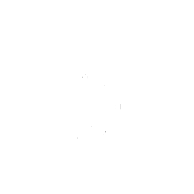 CCCCC(=O)C(Cl)CC(=O)OCC